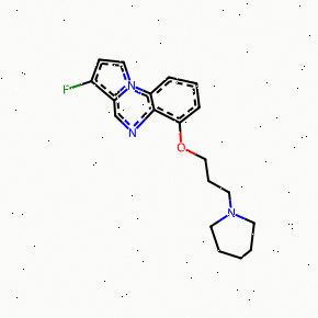 Fc1ccn2c1cnc1c(OCCCN3CCCCC3)cccc12